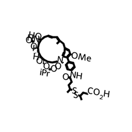 COc1cc2cc(c1-c1ccc(NC(=O)CCC(C)SSC(C)CCC(=O)O)cc1)N(C)C(=O)C[C@H](OC(=O)C(C)C)[C@]1(C)O[C@H]1[C@H](C)[C@@H]1C[C@](O)(C/C=C/C=C(\C)C2)NC(=O)O1